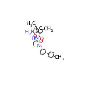 CCCC[C@H](C(N)=O)[C@@H](CC(C)C)C(=O)N[C@H]1CCCCN(Cc2cccc(-c3ccc(C)cc3)c2)C1=O